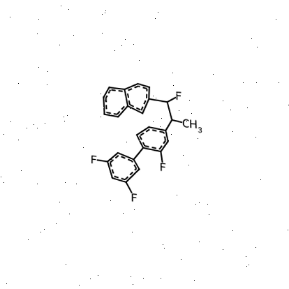 CC(c1ccc(-c2cc(F)cc(F)c2)c(F)c1)C(F)c1ccc2ccccc2c1